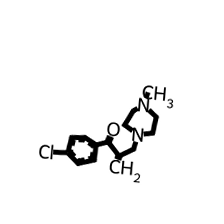 C=C(CN1CCN(C)CC1)C(=O)c1ccc(Cl)cc1